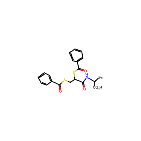 CCC(C)C(NC(=O)C(CSC(=O)c1ccccc1)SC(=O)c1ccccc1)C(=O)O